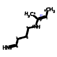 C/C=C(\C)NCCCC=N